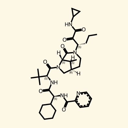 CCC[C@@H](C(=O)C(=O)NC1CC1)N1CC[C@H]2CN(C(=O)[C@@H](NC(=O)[C@@H](NC(=O)c3ccccn3)C3CCCCC3)C(C)(C)C)[C@H](C1=O)[C@H]2C